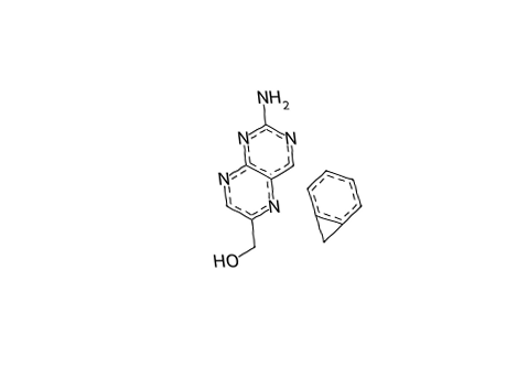 Nc1ncc2nc(CO)cnc2n1.c1ccc2c(c1)C2